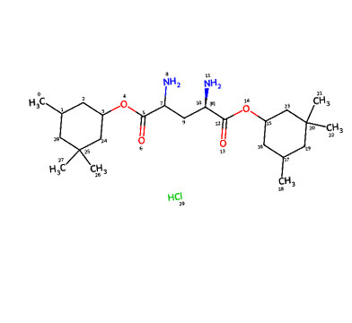 CC1CC(OC(=O)C(N)C[C@@H](N)C(=O)OC2CC(C)CC(C)(C)C2)CC(C)(C)C1.Cl